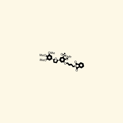 CCCOc1c(OCC=CCN2C(=O)c3ccccc3C2=O)cc([C@H]2CC[C@H](c3cc(OC)c(OC)c(OC)c3)O2)cc1S(C)(=O)=O